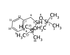 C[Si](C)(C)O[SiH](Cc1ccccc1)O[Si](C)(C)C